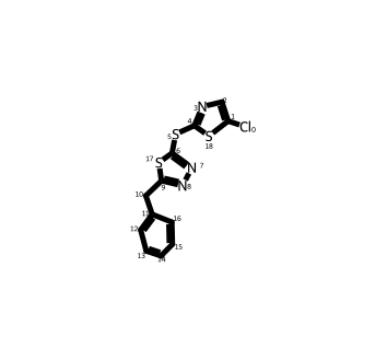 Clc1cnc(Sc2nnc(Cc3ccccc3)s2)s1